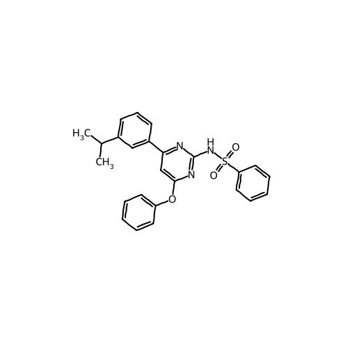 CC(C)c1cccc(-c2cc(Oc3ccccc3)nc(NS(=O)(=O)c3ccccc3)n2)c1